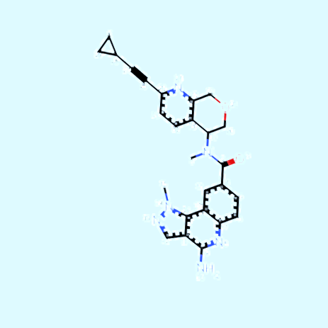 CN(C(=O)c1ccc2nc(N)c3cnn(C)c3c2c1)C1COCc2nc(C#CC3CC3)ccc21